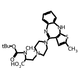 Cc1cc2c(s1)Nc1ccccc1N=C2N1CCN(CC(C(=O)O)N(C)C(=O)OC(C)(C)C)CC1